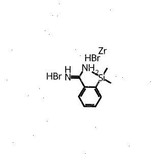 Br.Br.C[Si](C)(C)c1ccccc1C(=N)N.[Zr]